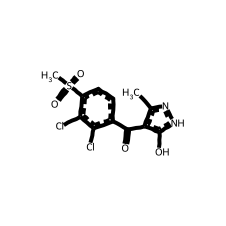 Cc1n[nH]c(O)c1C(=O)c1ccc(S(C)(=O)=O)c(Cl)c1Cl